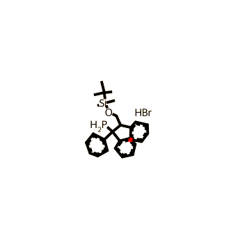 Br.CC(C)(C)[Si](C)(C)OCC(c1ccccc1)C(P)(c1ccccc1)c1ccccc1